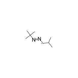 CC(C)[CH]N=NC(C)(C)C